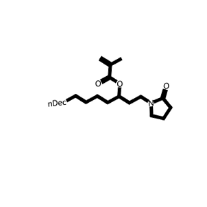 C=C(C)C(=O)OC(CCCCCCCCCCCCCC)CCN1CCCC1=O